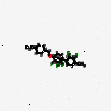 Cc1ccc(C23CCC(OCC4CCC(C)CC4)(CC2)C(F)C3(F)F)c(F)c1F